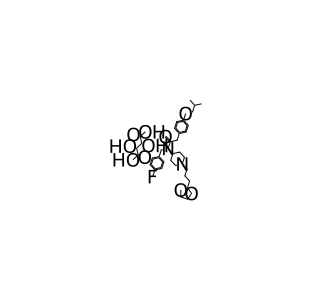 CC(C)COc1ccc(CC(=O)N(Cc2ccc(F)cc2)C2CCN(CCCC3OCCO3)CC2)cc1.O=C(O)C(O)C(O)C(=O)O